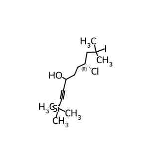 CC(C)(I)C[C@H](Cl)CCC(O)C#C[Si](C)(C)C